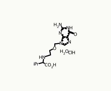 CC(C)C(NCCOCn1cnc2c(=O)[nH]c(N)nc21)C(=O)O.Cl.O